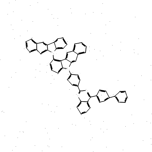 c1ccc(-c2ccc(-c3nc(-c4ccc(-n5c6cc7ccccc7cc6c6c(-n7c8ccccc8c8cc9ccccc9cc87)cccc65)cc4)nc4ccccc34)cc2)cc1